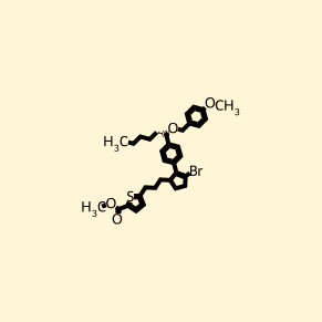 CCCCC[C@H](OCc1ccc(OC)cc1)c1ccc(C2=C(Br)CCC2CCCc2ccc(C(=O)OC)s2)cc1